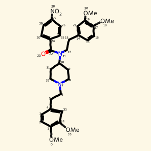 COc1ccc(CCN2CCC(N(CCc3ccc(OC)c(OC)c3)C(=O)c3ccc([N+](=O)[O-])cc3)CC2)cc1OC